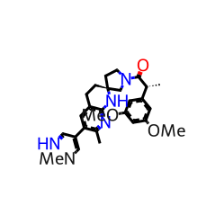 CN/C=C(\C=N)c1cc2c(nc1C)N[C@]1(CC2)CCN(C(=O)[C@H](C)c2cc(OC)cc(OC)c2)C1